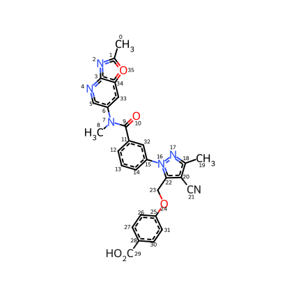 Cc1nc2ncc(N(C)C(=O)c3cccc(-n4nc(C)c(C#N)c4COc4ccc(C(=O)O)cc4)c3)cc2o1